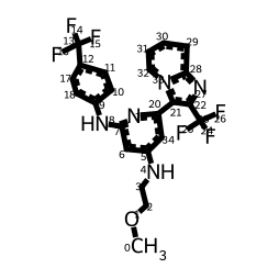 COCCNc1cc(Nc2ccc(C(F)(F)F)cc2)nc(-c2c(C(F)(F)F)nc3ccccn23)c1